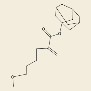 C=C(CCCCOC)C(=O)OC12CC3CC(CC(C3)C1)C2